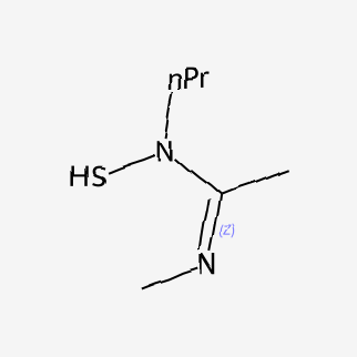 CCCN(S)/C(C)=N\C